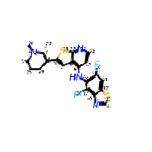 C[C@@H]1C(c2cc3c(Nc4c(F)cc5scnc5c4F)ccnc3s2)CCCN1C